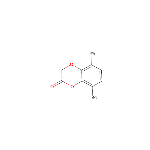 CC(C)c1ccc(C(C)C)c2c1OCC(=O)O2